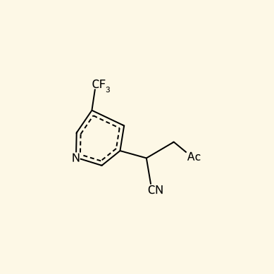 CC(=O)CC(C#N)c1cncc(C(F)(F)F)c1